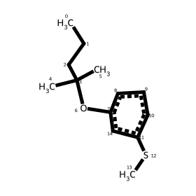 CCCC(C)(C)Oc1cccc(SC)c1